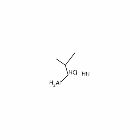 CC(C)[CH2][AlH2].Cl.[HH]